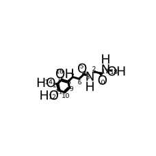 O=C(CNC(=O)CCc1ccc(O)c(O)c1O)NO